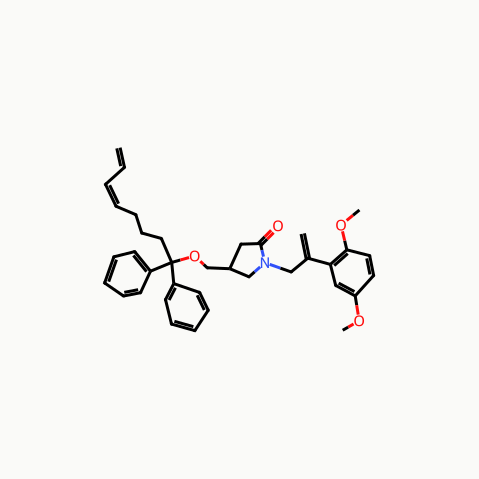 C=C/C=C\CCCC(OCC1CC(=O)N(CC(=C)c2cc(OC)ccc2OC)C1)(c1ccccc1)c1ccccc1